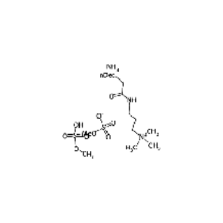 CCCCCCCCCCCC(=O)NCCC[N+](C)(C)C.COS(=O)(=O)O.COS(=O)(=O)[O-].N